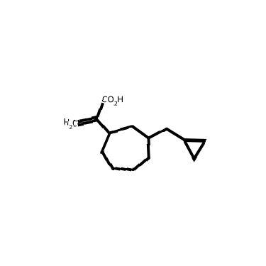 C=C(C(=O)O)C1CCCCC(CC2CC2)C1